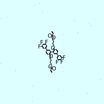 C=CC(=O)OCCCCOc1ccc(-c2cc(F)c(F)c(F)c2)cc1-c1cc(-c2cc(F)c(F)c(F)c2)ccc1OCCCCOC(=O)C=C